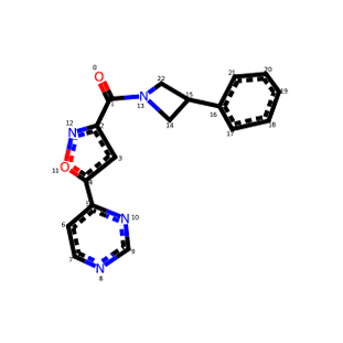 O=C(c1cc(-c2ccncn2)on1)N1CC(c2ccccc2)C1